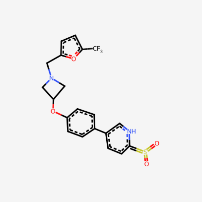 O=S(=O)=c1ccc(-c2ccc(OC3CN(Cc4ccc(C(F)(F)F)o4)C3)cc2)c[nH]1